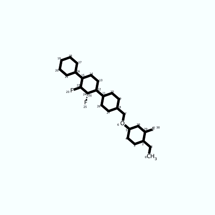 CCC1CCC(OCC2CCC(C3CCC(C4CCCCC4)C(F)[C@H]3F)CC2)CC1F